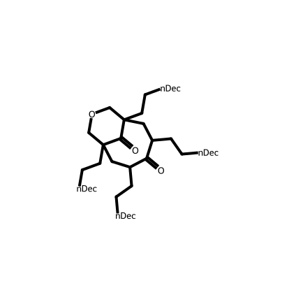 CCCCCCCCCCCCC1CC2(CCCCCCCCCCCC)COCC(CCCCCCCCCCCC)(CC(CCCCCCCCCCCC)C1=O)C2=O